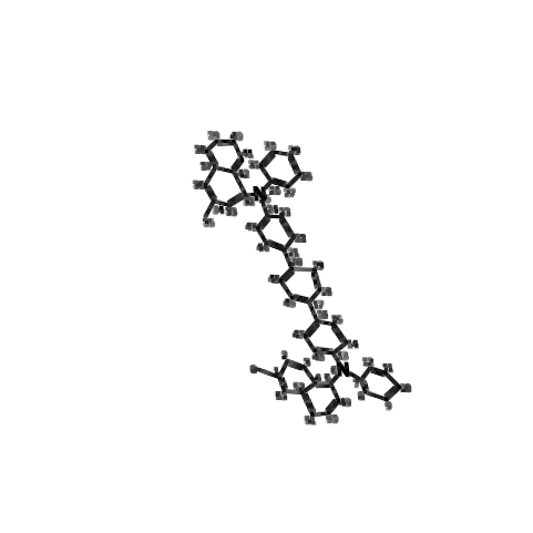 Cc1ccc2c(N(c3ccccc3)c3ccc(-c4ccc(-c5ccc(N(c6ccccc6)c6cc(C)cc7ccccc67)cc5)cc4)cc3)cccc2c1